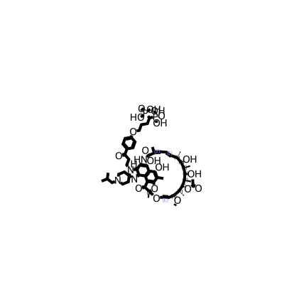 CO[C@H]1/C=C/O[C@@]2(C)Oc3c(C)c(O)c4c(c3C2=O)C2=NC3(CCN(CC(C)C)CC3)N(CCC(=O)c3ccc(OCCCC(P(=O)(O)O)P(=O)(O)O)cc3)[C@@H]2C(=C4O)NC(=O)/C(C)=C\C=C\[C@H](C)[C@H](O)[C@@H](C)[C@@H](O)[C@@H](C)[C@H](OC(C)=O)[C@@H]1C